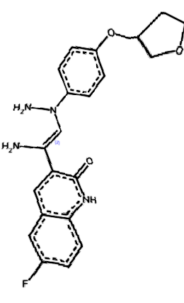 N/C(=C\N(N)c1ccc(OC2CCOC2)cc1)c1cc2cc(F)ccc2[nH]c1=O